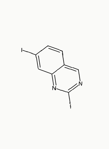 Ic1ccc2cnc(I)nc2c1